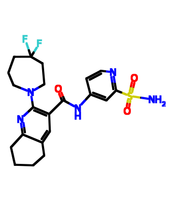 NS(=O)(=O)c1cc(NC(=O)c2cc3c(nc2N2CCCC(F)(F)CC2)CCCC3)ccn1